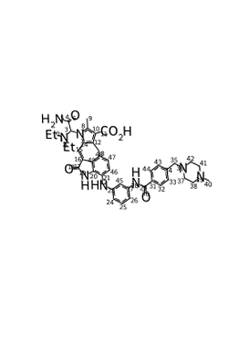 CCN(CC)C(C(N)=O)n1c(C)c(C(=O)O)c(C)c1C=C1C(=O)Nc2c(Nc3cccc(NC(=O)c4ccc(CN5CCN(C)CC5)cc4)c3)cccc21